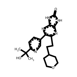 CC(C)(O)c1ccc(-c2nc3[nH]c(=O)[nH]c3nc2CCC2CCOCC2)cn1